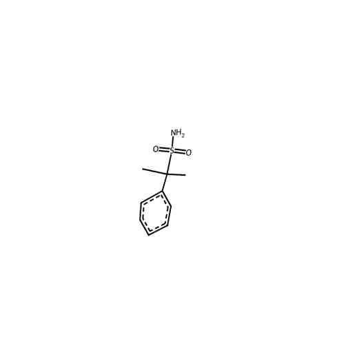 CC(C)(c1ccccc1)S(N)(=O)=O